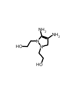 NC1=C(N)N(CCO)N(CCO)C1